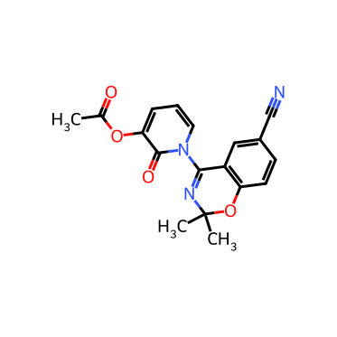 CC(=O)Oc1cccn(C2=NC(C)(C)Oc3ccc(C#N)cc32)c1=O